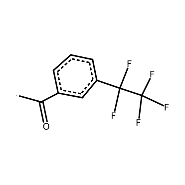 [CH2]C(=O)c1cccc(C(F)(F)C(F)(F)F)c1